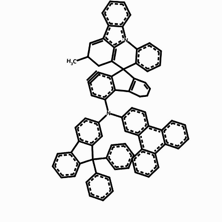 CC1C=c2c3n(c4ccccc24)-c2ccccc2C2(C4=C(CCC=C4)c4c2c#ccc4N(c2ccc4c(c2)C(c2ccccc2)(c2ccccc2)c2ccccc2-4)c2ccc4c5ccccc5c5ccccc5c4c2)C=3C1